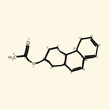 CC(=O)OC1CCC2C(C=CC3=CC=CCC32)C1